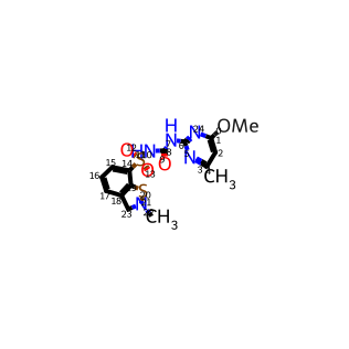 COc1cc(C)nc(NC(=O)NS(=O)(=O)c2cccc3c2SN(C)C3)n1